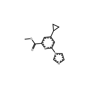 COC(=O)c1cc(C2CC2)cc(-n2ccnc2)n1